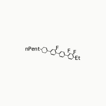 CCCCCC1CC=C(c2ccc(-c3ccc(-c4ccc(CC)c(F)c4F)cc3)c(F)c2)CC1